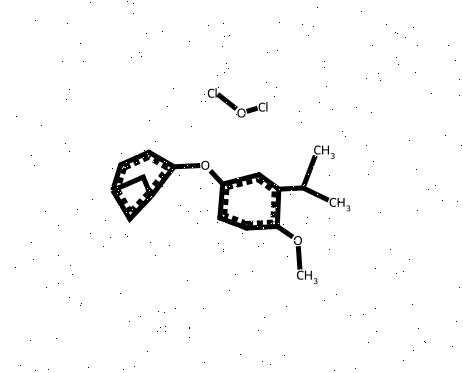 COc1ccc(Oc2ccc3cc2C3)cc1C(C)C.ClOCl